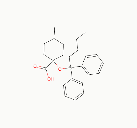 CCCC[Si](OC1(C(=O)O)CCC(C)CC1)(c1ccccc1)c1ccccc1